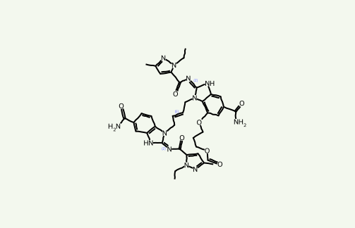 CCn1nc(C)cc1C(=O)/N=c1/[nH]c2cc(C(N)=O)ccc2n1C/C=C/Cn1/c(=N\C(=O)c2cc(C)nn2CC)[nH]c2cc(C(N)=O)cc(OCCCOC=O)c21